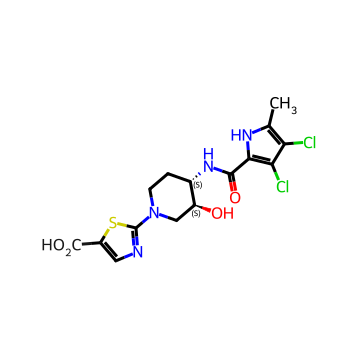 Cc1[nH]c(C(=O)N[C@H]2CCN(c3ncc(C(=O)O)s3)C[C@@H]2O)c(Cl)c1Cl